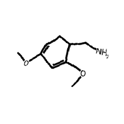 COC1=CCC(CN)C(OC)=C1